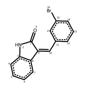 O=C1Nc2ccccc2C1=Cc1cccc(Br)c1